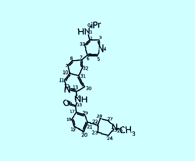 CC(C)Nc1cncc(-c2ccc3cnc(NC(=O)c4cccc(C5CCN(C)CC5)c4)cc3c2)c1